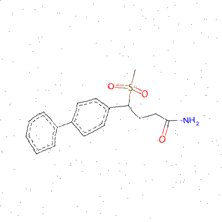 CS(=O)(=O)C(CCC(N)=O)c1ccc(-c2ccccc2)cc1